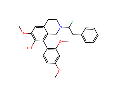 COc1ccc(-c2c(O)c(OC)cc3c2CN(C(F)Cc2ccccc2)CC3)c(OC)c1